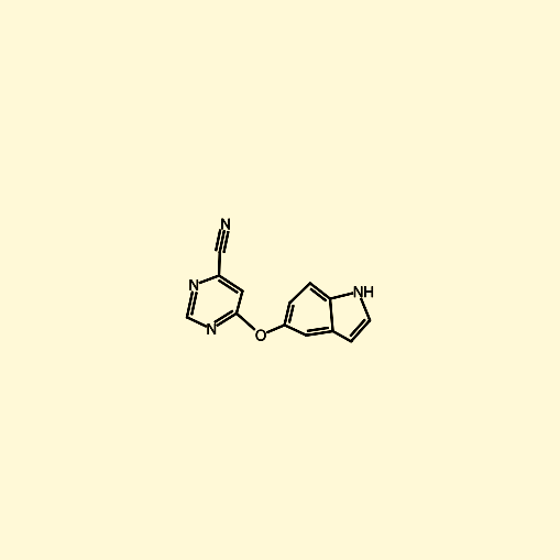 N#Cc1cc(Oc2ccc3[nH]ccc3c2)ncn1